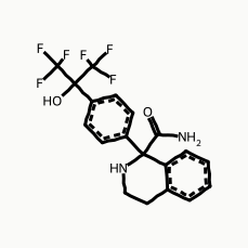 NC(=O)C1(c2ccc(C(O)(C(F)(F)F)C(F)(F)F)cc2)NCCc2ccccc21